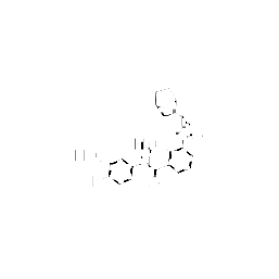 Cc1cc(NC(=O)c2cccc(S(=O)(=O)NC3CC4CCC3O4)c2C)ccc1F